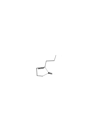 CCOC(=O)CCC1=CCCC1=O